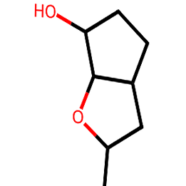 CC1CC2CCC(O)C2O1